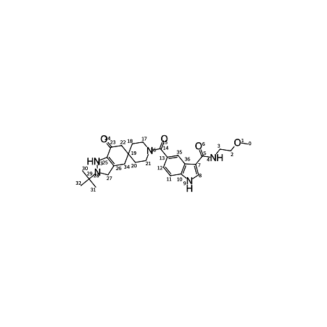 COCCNC(=O)c1c[nH]c2ccc(C(=O)N3CCC4(CC3)CC(=O)C3=C(CN(C(C)(C)C)N3)C4)cc12